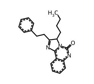 CCCCC1C(CCc2ccccc2)=Nc2c3ccccc3nc(=O)n21